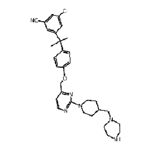 CC(C)(c1ccc(OCc2ccnc(N3CCC(CN4CCNCC4)CC3)n2)cc1)c1cc(Cl)cc(C#N)c1